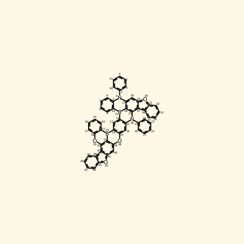 c1ccc(N2c3ccccc3B3c4cc5c(cc4N(c4ccccc4)c4c3c2cc2oc3ccccc3c42)Oc2cc3oc4ccccc4c3c3c2B5c2ccccc2O3)cc1